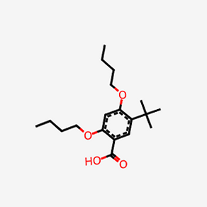 CCCCOc1cc(OCCCC)c(C(C)(C)C)cc1C(=O)O